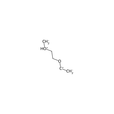 [CH2-][CH+]OCC[OH+][CH2-]